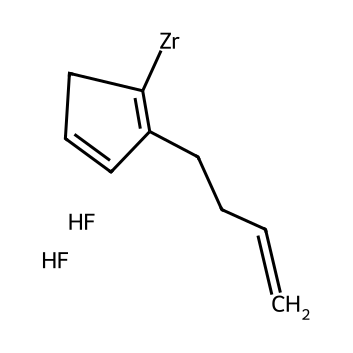 C=CCCC1=[C]([Zr])CC=C1.F.F